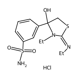 CCN=C1SCC(O)(c2cccc(S(N)(=O)=O)c2)N1CC.Cl